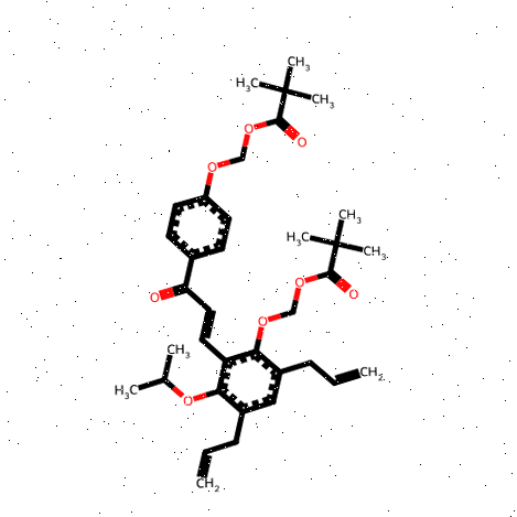 C=CCc1cc(CC=C)c(OC(C)C)c(C=CC(=O)c2ccc(OCOC(=O)C(C)(C)C)cc2)c1OCOC(=O)C(C)(C)C